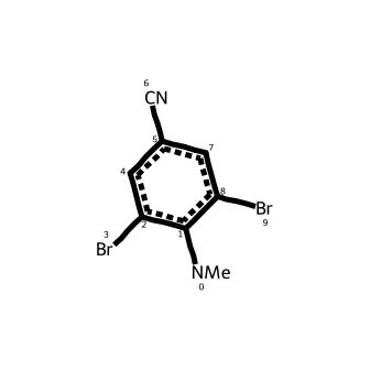 CNc1c(Br)cc(C#N)cc1Br